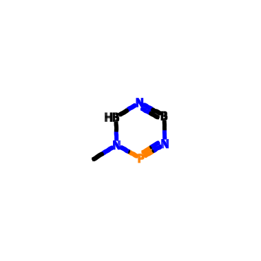 CN1BN=BN=P1